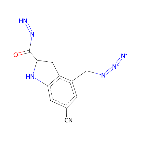 N#Cc1cc(CN=[N+]=[N-])c2c(c1)NC(C(=O)N=N)C2